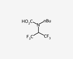 CCCCN(C(=O)O)C(C(F)(F)F)C(F)(F)F